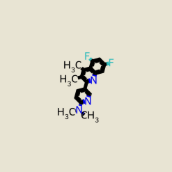 Cc1c(-c2ccc(N(C)C)nc2)nc2cc(F)cc(F)c2c1C